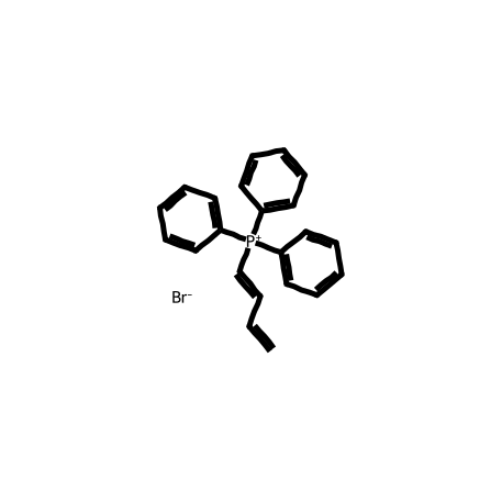 C=CC=C[P+](c1ccccc1)(c1ccccc1)c1ccccc1.[Br-]